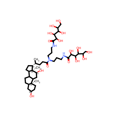 CC(CCC(=O)N(CCCNC(=O)C(O)C(O)C(O)C(O)CO)CCCNC(=O)C(O)C(O)C(O)C(O)CO)[C@H]1CCC2C3CCC4C[C@H](O)CC[C@]4(C)C3C[C@H](O)[C@@]21C